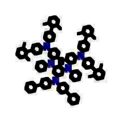 Cc1cccc(C)c1-c1ccc(N(c2ccc(-c3c(C)cccc3C)cc2)c2ccc3c(c2)N(c2ccccc2)c2cc(N(c4ccc(-c5ccccc5)cc4)c4ccc(-c5ccccc5)cc4)cc4c2B3c2ccc(N(c3ccc(-c5c(C)cccc5C)cc3)c3ccc(-c5c(C)cccc5C)cc3)cc2N4c2ccccc2)cc1